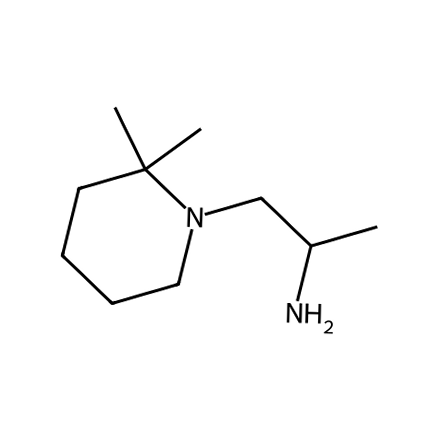 CC(N)CN1CCCCC1(C)C